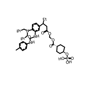 CCC(CC(=O)OCOC(=O)[C@H]1CC[C@H](OP(=O)(O)O)CC1)c1ccc(N(CC(C)C)CC(C)C)c(NC(=O)Nc2ccc(C)cc2)c1